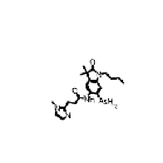 CCCCN1C(=O)C(C)(C)c2cc(NC(=O)CCc3nccn3C)c([AsH2])cc21